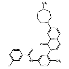 Cc1ccc(NC(=O)c2ccnc(Cl)c2)cc1-n1cnc2ccc(N3CCCN(C)CC3)cc2c1=O